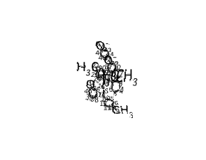 CC1(C)CC=CC=[C]1[Ti+3].Cc1ccc(C=CC=Cc2ccc(C)cc2)cc1.[O-]c1ccccc1.[O-]c1ccccc1.[O-]c1ccccc1